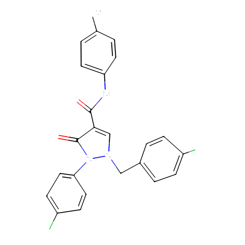 COc1ccc(NC(=O)c2cn(Cc3ccc(Cl)cc3)n(-c3ccc(Cl)cc3)c2=O)cc1